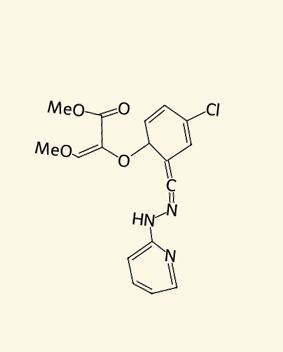 COC=C(OC1C=CC(Cl)=CC1=C=NNc1ccccn1)C(=O)OC